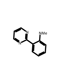 CNc1ccccc1-c1ncccn1